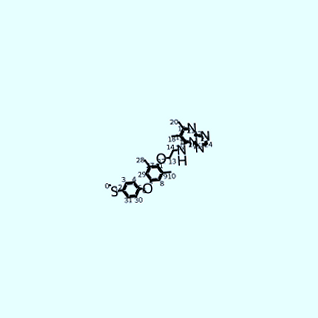 CSc1ccc(Oc2cc(C)c(OCCNc3c(C)c(C)nc4ncnn34)c(C)c2)cc1